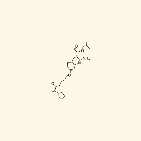 CC(C)COC(C=O)N1Cc2ccc(OCCCCC(=O)N(C)C3CCCC3)cc2N=C1N